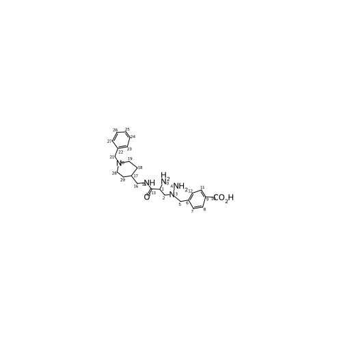 NC(CN(N)Cc1ccc(C(=O)O)cc1)C(=O)NCC1CCN(Cc2ccccc2)CC1